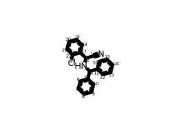 N#CC(NC(c1ccccc1)c1ccccc1)c1ccccc1Cl